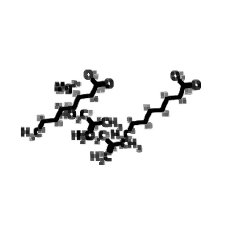 C=C(C)C(=O)O.C=C(C)C(=O)O.CCCCCCCC(=O)[O-].CCCCCCCC(=O)[O-].[Mg+2]